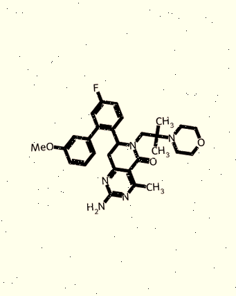 COc1cccc(-c2cc(F)ccc2C2Cc3nc(N)nc(C)c3C(=O)N2CC(C)(C)N2CCOCC2)c1